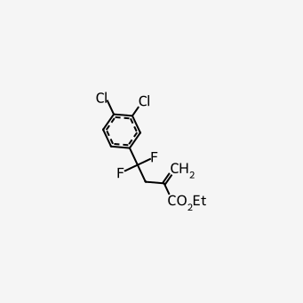 C=C(CC(F)(F)c1ccc(Cl)c(Cl)c1)C(=O)OCC